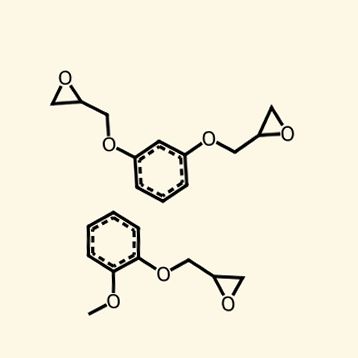 COc1ccccc1OCC1CO1.c1cc(OCC2CO2)cc(OCC2CO2)c1